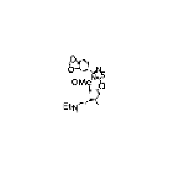 CCN(C)CCc1cc(OC)c(Oc2nc(-c3ccc4c(c3)OCO4)ns2)cc1C